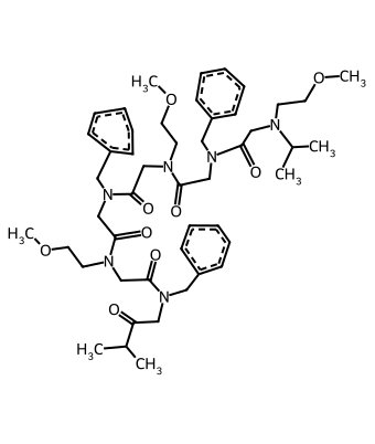 COCCN(CC(=O)N(CC(=O)C(C)C)Cc1ccccc1)C(=O)CN(Cc1ccccc1)C(=O)CN(CCOC)C(=O)CN(Cc1ccccc1)C(=O)CN(CCOC)C(C)C